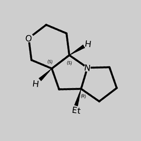 CC[C@]12CCCN1[C@H]1CCOC[C@H]1C2